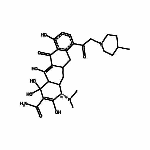 CC1CCN(CC(=O)c2ccc(O)c3c2CC2CC4C(C(O)=C2C3=O)C(O)(O)C(C(N)=O)=C(O)[C@H]4N(C)C)CC1